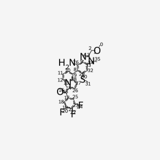 COCc1nc2c(N)c(-c3cccn4c(C(=O)c5cc(F)c(F)c(F)c5)ccc34)c(SC)cc2n1C